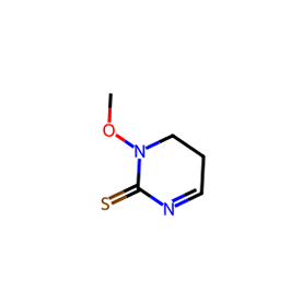 CON1CCC=NC1=S